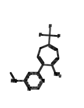 CNc1cc(C2=CCC(C(F)(F)F)=CC=C2N)ncn1